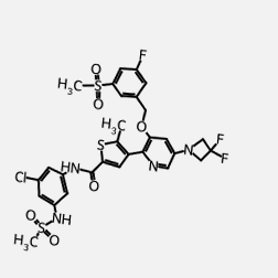 Cc1sc(C(=O)Nc2cc(Cl)cc(NS(C)(=O)=O)c2)cc1-c1ncc(N2CC(F)(F)C2)cc1OCc1cc(F)cc(S(C)(=O)=O)c1